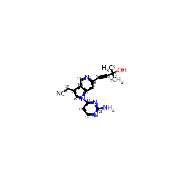 CC(C)(O)C#Cc1cc2c(cn1)c(CC#N)cn2-c1ccnc(N)n1